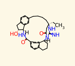 CC[C@]12CCCCc3ccc4c(c3)[C@@H](NC(=O)c3ccc5c(c3)[C@@H](CCC5)N(C(=N)N1)C(=O)C2)[C@H](O)C4